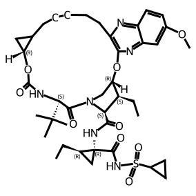 CC[C@@H]1[C@@H]2CN(C(=O)[C@H](C(C)(C)C)NC(=O)O[C@@H]3CC3CCCCCc3nc4ccc(OC)cc4nc3O2)[C@@H]1C(=O)N[C@]1(C(=O)NS(=O)(=O)C2CC2)C[C@H]1CC